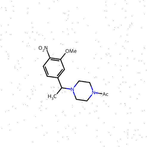 COc1cc(C(C)N2CCN(C(C)=O)CC2)ccc1[N+](=O)[O-]